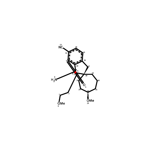 COCCN1C(=O)C2(N=C1N)c1cc(C#N)ccc1C[C@]21CCC[C@@H](OC)CC1